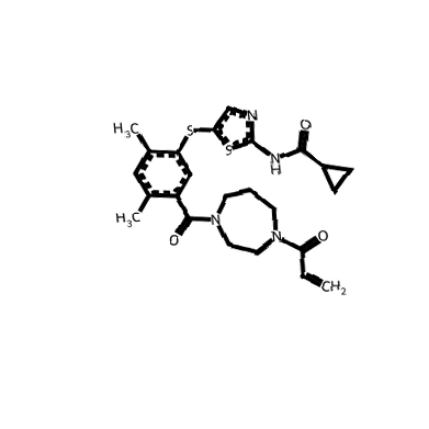 C=CC(=O)N1CCCN(C(=O)c2cc(Sc3cnc(NC(=O)C4CC4)s3)c(C)cc2C)CC1